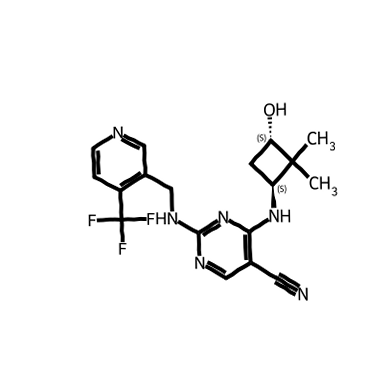 CC1(C)[C@@H](Nc2nc(NCc3cnccc3C(F)(F)F)ncc2C#N)C[C@@H]1O